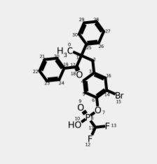 CC(Cc1ccc(OP(=O)(O)C(F)F)c(Br)c1)(C(=O)c1ccccc1)c1ccccc1